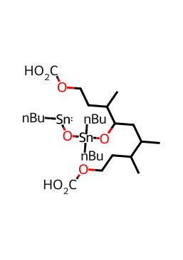 CCC[CH2][Sn][O][Sn]([CH2]CCC)([CH2]CCC)[O]C(CC(C)C(C)CCOC(=O)O)C(C)CCOC(=O)O